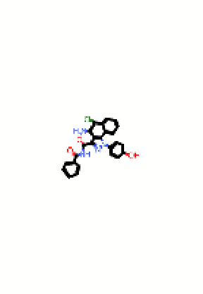 NC1c2c(C(=O)NC(=O)c3ccccc3)nn(-c3ccc(O)cc3)c2-c2ccccc2C1Cl